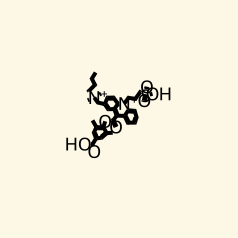 CCCC[N+](C)(C)Cc1ccc2c(c1)c(C(=O)Oc1c(C)cc(C(=O)O)cc1C)c1ccccc1[n+]2CCCS(=O)(=O)O